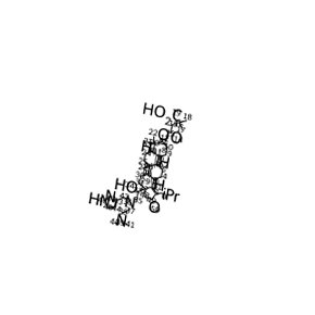 CC(C)C1=C2[C@H]3CC[C@@H]4[C@@]5(C)CC[C@H](OC(=O)CC(C)(C)C(=O)O)C(C)(C)[C@@H]5CC[C@@]4(C)[C@]3(C)CCC2(C(O)CN(CCN(C)C)Cc2cc[nH]n2)CC1=O